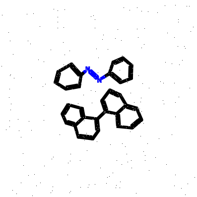 c1ccc(N=Nc2ccccc2)cc1.c1ccc2c(-c3cccc4ccccc34)cccc2c1